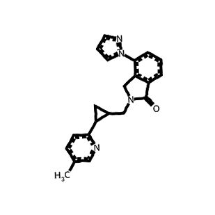 Cc1ccc(C2CC2CN2Cc3c(cccc3-n3cccn3)C2=O)nc1